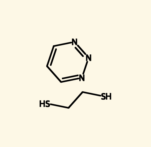 SCCS.c1cnnnc1